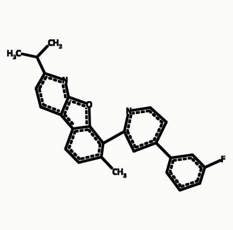 Cc1ccc2c(oc3nc(C(C)C)ccc32)c1-c1cc(-c2cccc(F)c2)ccn1